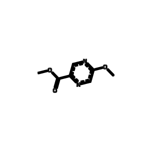 COC(=O)c1cnc(OC)cn1